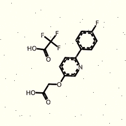 O=C(O)C(F)(F)F.O=C(O)COc1ccc(-c2ccc(F)cc2)nc1